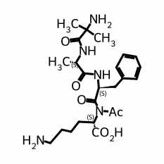 CC(=O)N(C(=O)[C@H](Cc1ccccc1)NC(=O)[C@H](C)NC(=O)C(C)(C)N)[C@@H](CCCCN)C(=O)O